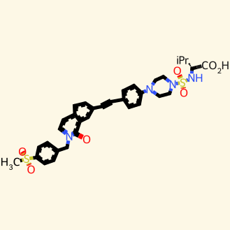 CC(C)[C@@H](NS(=O)(=O)N1CCN(c2ccc(C#Cc3ccc4ccn(Cc5ccc(S(C)(=O)=O)cc5)c(=O)c4c3)cc2)CC1)C(=O)O